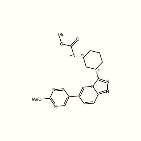 COc1ncc(-c2ccc3nnc([C@H]4CCC[C@@H](NC(=O)OC(C)(C)C)C4)n3c2)cn1